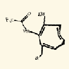 O=C(Nc1c(Br)cccc1Br)C(F)(F)F